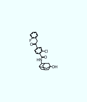 O=C(Cc1ccccc1F)c1ccc(C(=O)NC2C3CC4CC2CC(O)(C4)C3)c(Cl)c1